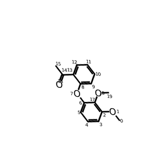 COc1cccc(Oc2ccccc2C(C)=O)c1OC